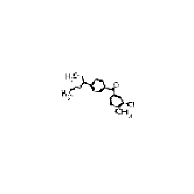 CCCC(CC)c1ccc(C(=O)c2ccc(C)c(Cl)c2)cc1